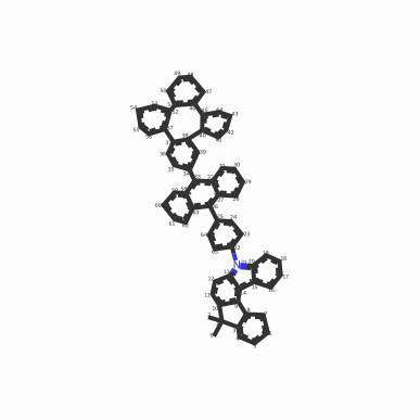 CC1(C)c2ccccc2-c2c1ccc1c2c2ccccc2n1-c1ccc(-c2c3ccccc3c(-c3ccc4c(c3)-c3ccccc3-c3ccccc3-c3ccccc3-4)c3ccccc23)cc1